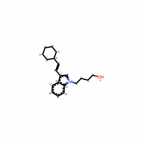 OCCCCn1cc(C=CC2CCCCC2)c2ccccc21